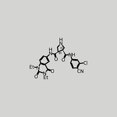 CCn1c(=O)c2cc(NC(=O)[C@H]3CNC[C@H]3C(=O)Nc3ccc(C#N)c(Cl)c3)ccc2n(CC)c1=O